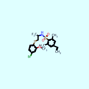 C=Cc1cc(C)c(S(=O)(=O)NC(CSc2ccc(Br)cc2OC(F)(F)F)C(F)(F)F)c(C)c1